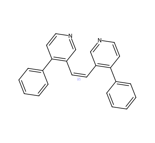 C(=C/c1cnccc1-c1ccccc1)/c1cnccc1-c1ccccc1